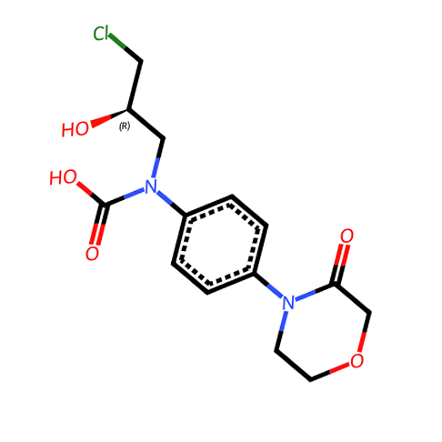 O=C(O)N(C[C@@H](O)CCl)c1ccc(N2CCOCC2=O)cc1